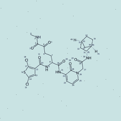 CNC(=O)C(=O)CCC(NC(=O)c1cc(Cl)sc1Cl)C(=O)Nc1cccn(CC(=O)N[C@@H]2C[C@H]3CC[C@@H]2C3)c1=O